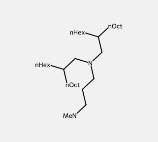 CCCCCCCCC(CCCCCC)CN(CCCNC)CC(CCCCCC)CCCCCCCC